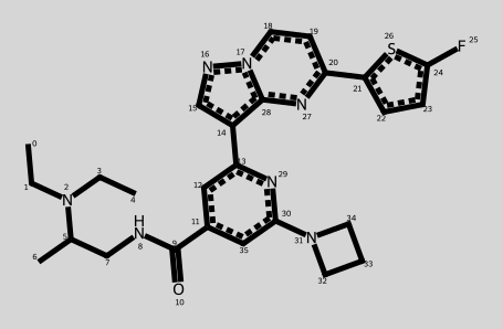 CCN(CC)C(C)CNC(=O)c1cc(-c2cnn3ccc(-c4ccc(F)s4)nc23)nc(N2CCC2)c1